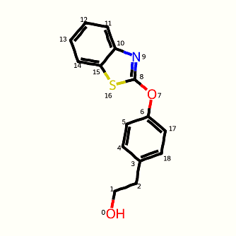 OCCc1ccc(Oc2nc3ccccc3s2)cc1